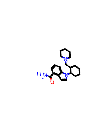 NC(=O)c1cccc2c1ccn2C1CCCCC1CN1CCCCC1